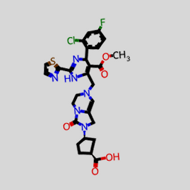 COC(=O)C1=C(CN2C=C3CN([C@@H]4CC[C@H](C(=O)O)C4)C(=O)N3CC2)NC(c2nccs2)=NC1c1ccc(F)cc1Cl